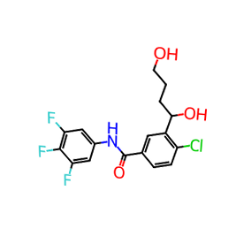 O=C(Nc1cc(F)c(F)c(F)c1)c1ccc(Cl)c(C(O)CCCO)c1